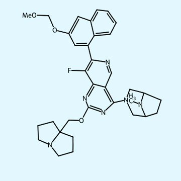 COCOc1cc(-c2ncc3c(N4CC5CCC(C4)N5C)nc(OCC45CCCN4CCC5)nc3c2F)c2ccccc2c1